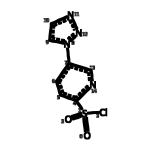 O=S(=O)(Cl)c1ccc(-n2ccnn2)cn1